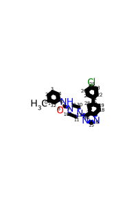 Cc1cccc(NC(=O)N2CCN(c3ncnc4ccc(-c5ccc(Cl)cc5)cc34)CC2)c1